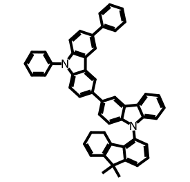 CC1(C)C2=C(CCC=C2)c2c(-n3c4ccccc4c4cc(-c5ccc6c(c5)c5cc(-c7ccccc7)ccc5n6-c5ccccc5)ccc43)cccc21